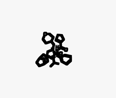 CC(C)N1C(=O)N(CC2CCOCC2)CC12CC1CCC(C2)N1CC[C@H](NC(=O)C1=CCCC1)c1ccccc1